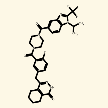 CC(C)n1c(C(F)(F)F)nc2cc(C(=O)N3CCN(C(=O)c4cc(Cc5n[nH]c(=O)c6c5CCCC6)ccc4F)CC3)ccc21